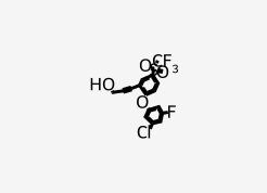 O=S(=O)(c1ccc(Oc2cc(F)cc(Cl)c2)c(C#CCO)c1)C(F)(F)F